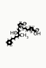 C[C@H](CCCCc1ccccc1)[C@H](O)C=C[C@H]1CCC(=O)N1CCCc1ccc(C(=O)O)s1